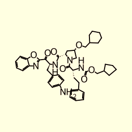 Nc1ccc(C[C@H](NC(=O)[C@@H]2C[C@@H](OCC3CCCCC3)CN2C(=O)[C@@H](CCc2ccccc2)NC(=O)OCC2CCCC2)C(=O)c2nc3ccccc3o2)cc1